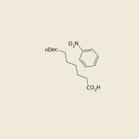 CCCCCCCCCCCCCCCC(=O)O.O=[N+]([O-])c1ccccc1